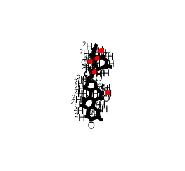 [2H]C[C@]12C([2H])=C(C)C(=O)C([2H])=C1C([2H])([2H])C([2H])([2H])[C@@]1([2H])[C@]3([2H])C([2H])([2H])[C@@]4([2H])O[C@@]([2H])(C5([2H])C([2H])([2H])C([2H])([2H])C([2H])([2H])C([2H])([2H])C5([2H])C)O[C@@]4(C(=O)C([2H])([2H])OC(=O)C([2H])(C([2H])([2H])[2H])C([2H])([2H])C)[C@@]3(C[2H])C([2H])([2H])[C@]([2H])(O[2H])[C@]21[2H]